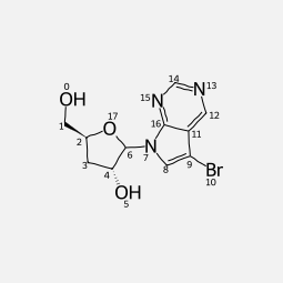 OC[C@@H]1C[C@@H](O)C(n2cc(Br)c3cncnc32)O1